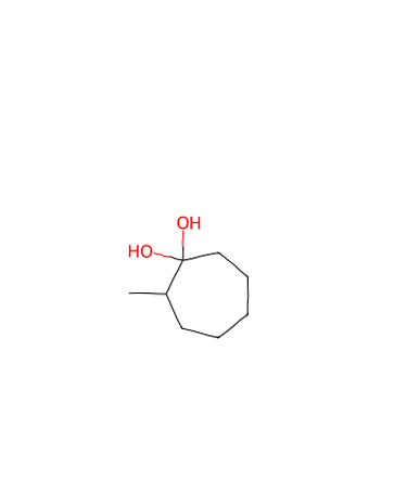 CC1CCCCCC1(O)O